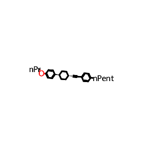 CCCCCc1ccc(C#C[C@H]2CC[C@H](c3ccc(OCCC)cc3)CC2)cc1